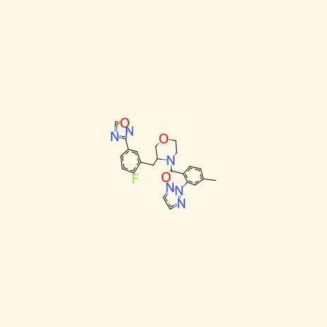 Cc1ccc(C(=O)N2CCOCC2Cc2cc(-c3ncon3)ccc2F)c(-n2nccn2)c1